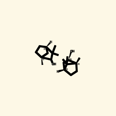 CC1(C)C(O)[C@@]2(C)CC[C@@H]1C2.CC1(C)[C@@H]2CC[C@@]1(C)[C@@H](O)C2